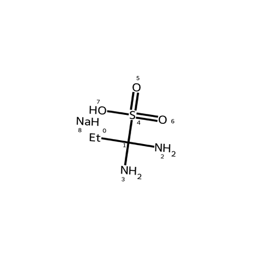 [CH2]CC(N)(N)S(=O)(=O)O.[NaH]